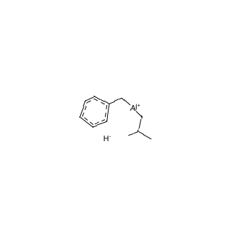 CC(C)[CH2][Al+][CH2]c1ccccc1.[H-]